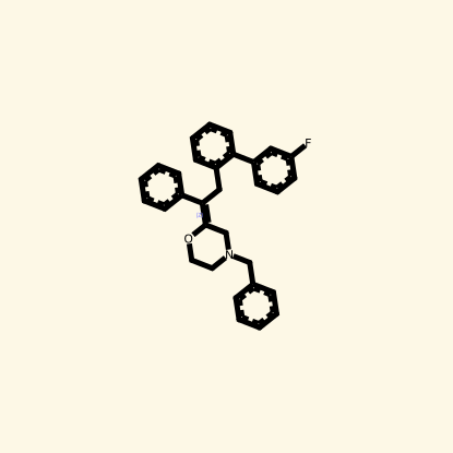 Fc1cccc(-c2ccccc2C/C(=C2\CN(Cc3ccccc3)CCO2)c2ccccc2)c1